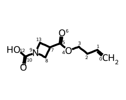 C=CCCOC(=O)C1CN(C(=O)O)C1